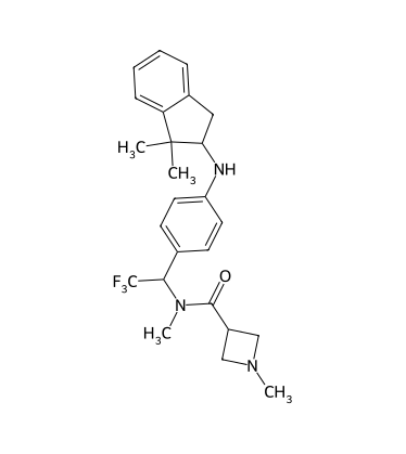 CN1CC(C(=O)N(C)C(c2ccc(NC3Cc4ccccc4C3(C)C)cc2)C(F)(F)F)C1